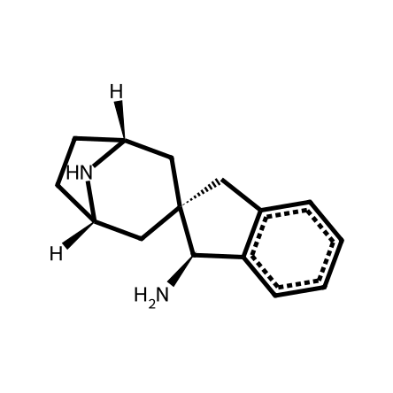 N[C@@H]1c2ccccc2C[C@]12C[C@H]1CC[C@@H](C2)N1